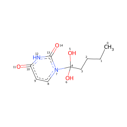 CCCCC(O)(O)n1ccc(=O)[nH]c1=O